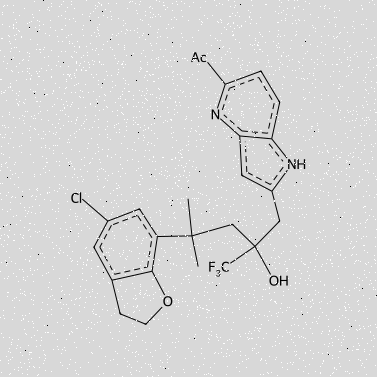 CC(=O)c1ccc2[nH]c(CC(O)(CC(C)(C)c3cc(Cl)cc4c3OCC4)C(F)(F)F)cc2n1